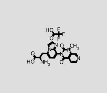 Cn1c(=O)n(-c2ccc(CC(N)C(=O)O)n3ccnc23)c(=O)c2ccncc21.O=C(O)C(F)(F)F